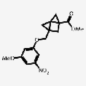 COC(=O)C12CC3(COc4cc(OC)cc([N+](=O)[O-])c4)CC31C2